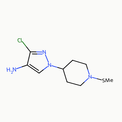 CSN1CCC(n2cc(N)c(Cl)n2)CC1